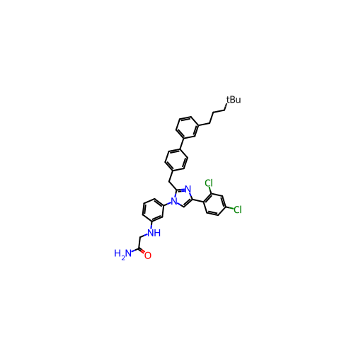 CC(C)(C)CCCc1cccc(-c2ccc(Cc3nc(-c4ccc(Cl)cc4Cl)cn3-c3cccc(NCC(N)=O)c3)cc2)c1